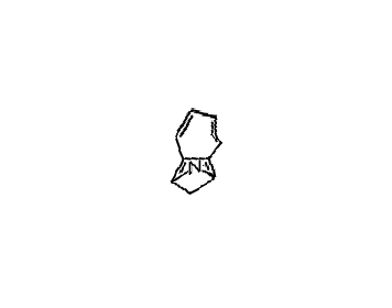 c1ccc2c(c1)=C1CC=2[N]1